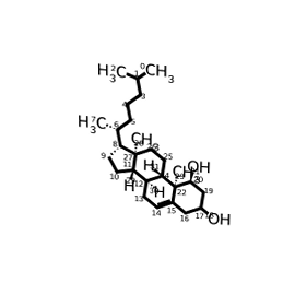 CC(C)CCC[C@@H](C)[C@H]1CC[C@H]2[C@@H]3CC=C4CC(O)C[C@H](O)[C@]4(C)[C@H]3CC[C@]12C